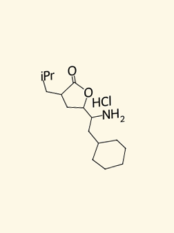 CC(C)CC1CC(C(N)CC2CCCCC2)OC1=O.Cl